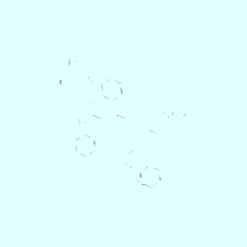 CC[C@@H](CC(=O)OC(C)OC(=O)N(C)c1ncccc1COC(=O)CNC)c1ccc(N(CC(C)C)CC(C)C)c(NC(=O)Nc2ccc(C)cc2)c1